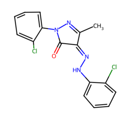 CC1=NN(c2ccccc2Cl)C(=O)C1=NNc1ccccc1Cl